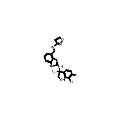 CC(CO)(Nc1nc2c(CNc3ccon3)cccc2[nH]1)c1ccc(F)c(Cl)c1